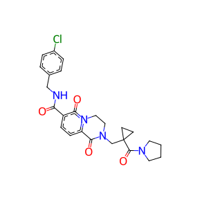 O=C(NCc1ccc(Cl)cc1)c1ccc2n(c1=O)CCN(CC1(C(=O)N3CCCC3)CC1)C2=O